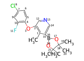 Cc1c(Oc2ccc(Cl)cc2F)cncc1B1OC(C)(C)C(C)(C)O1